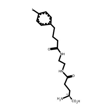 N[C@@H](CCC(=O)NCCNC(=O)CCCc1ccc(I)cc1)C(=O)O